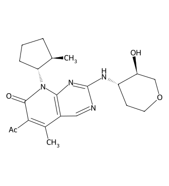 CC(=O)c1c(C)c2cnc(N[C@H]3CCOC[C@@H]3O)nc2n([C@@H]2CCC[C@H]2C)c1=O